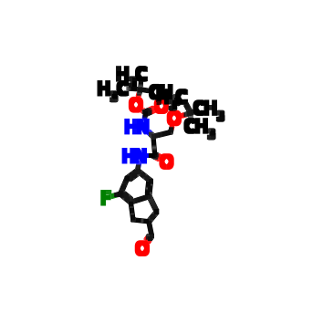 CC(C)(C)OCC(NC(=O)OC(C)(C)C)C(=O)Nc1cc(F)c2c(c1)CC(C=O)C2